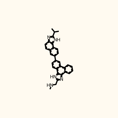 CNCc1nc2c3ccccc3c3cc(-c4ccc5c(ccc6nc(C(C)C)[nH]c65)c4)ccc3c2[nH]1